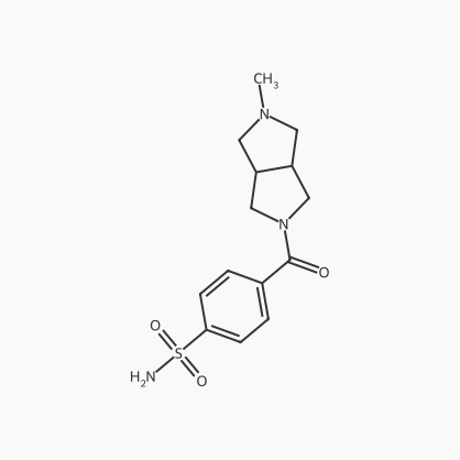 CN1CC2CN(C(=O)c3ccc(S(N)(=O)=O)cc3)CC2C1